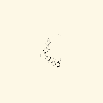 CC(=O)NCCN1CCN(c2ccc(Nc3ncc4c(n3)OCN(c3c(Cl)cccc3Cl)C4=O)cc2Cl)CC1